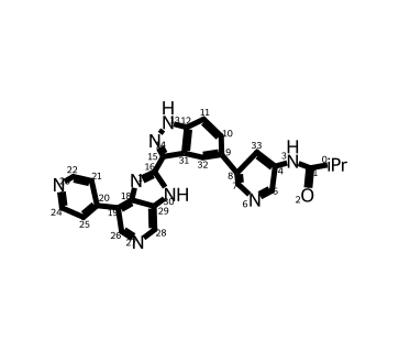 CC(C)C(=O)Nc1cncc(-c2ccc3[nH]nc(-c4nc5c(-c6ccncc6)cncc5[nH]4)c3c2)c1